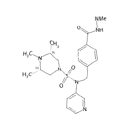 CNNC(=O)c1ccc(CN(c2cccnc2)S(=O)(=O)N2C[C@@H](C)N(C)[C@@H](C)C2)cc1